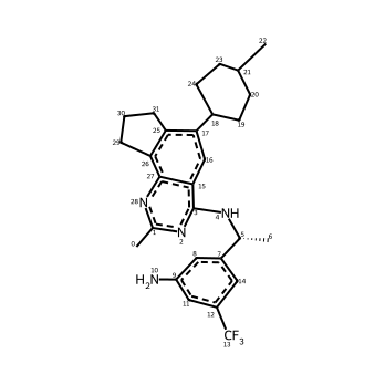 Cc1nc(N[C@H](C)c2cc(N)cc(C(F)(F)F)c2)c2cc(C3CCC(C)CC3)c3c(c2n1)CCC3